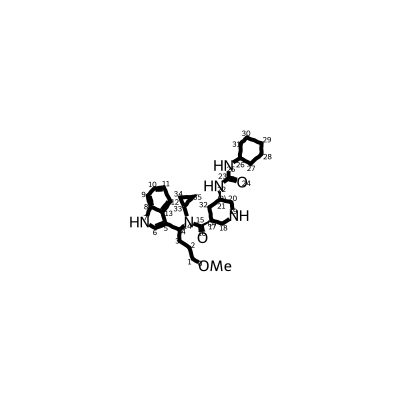 COCCCC(c1c[nH]c2ccccc12)N(C(=O)[C@@H]1CNC[C@H](NC(=O)NC2CCCCC2)C1)C1CC1